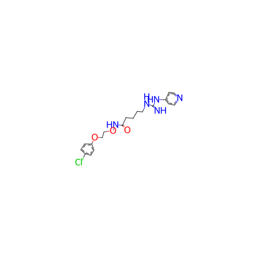 N=C(NCCCCC(=O)NOCCOc1ccc(Cl)cc1)Nc1ccncc1